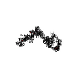 CCCN(CC(=O)NC(C(=O)NCC(=O)N[C@@H](Cc1ccccc1)C(=O)N[C@@H](Cc1ccccc1)C(=O)NC1CCN(c2cc(O)c3nc4c5c6c7c(C)c(O)c5c(=O)c(c-4oc3c2)NC(=O)/C(C)=C\C=C\[C@H](C)C[C@@H](C)C[C@@H](C)[C@H](OC(C)=O)[C@H](C)C/C=C/O[C@@](C)(O7)C6=O)CC1)[C@@H](C)CC)C(=O)CNC(=O)CCN1C(=O)C=CC1=O